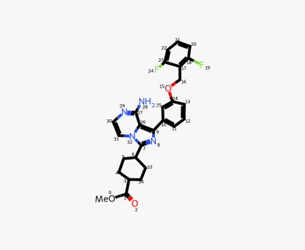 COC(=O)C1CCC(c2nc(-c3cccc(OCc4c(F)cccc4F)c3)c3c(N)nccn23)CC1